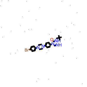 CC(C)(C)CNC(=O)N(C=N)c1ccc(N2CCN(c3ccc(Br)cc3)CC2)cc1